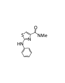 CNC(=O)c1csc(Nc2ccccc2)n1